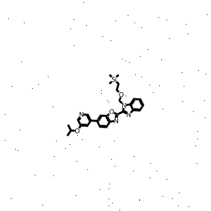 CC(C)Oc1cncc(-c2ccc3nc(-c4nc5ccccc5n4COCC[Si](C)(C)C)oc3c2)c1